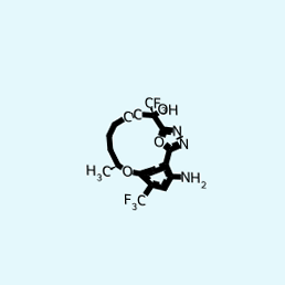 C[C@@H]1CCCCC[C@](O)(C(F)(F)F)c2nnc(o2)-c2cc(c(C(F)(F)F)cc2N)O1